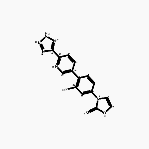 O=c1occn1-c1ccc(-c2ccc(-c3nn[nH]n3)nc2)c(F)c1